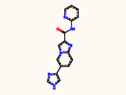 O=C(Nc1ccccn1)c1cn2cc(-c3c[nH]cn3)ccc2n1